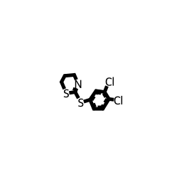 Clc1ccc(SC2=NCCCS2)cc1Cl